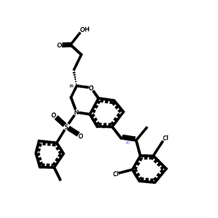 C/C(=C\c1ccc2c(c1)N(S(=O)(=O)c1cccc(C)c1)C[C@H](CCC(=O)O)O2)c1c(Cl)cccc1Cl